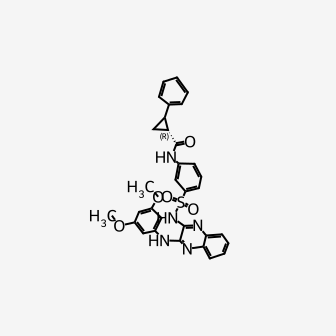 COc1cc(Nc2nc3ccccc3nc2NS(=O)(=O)c2cccc(NC(=O)[C@@H]3CC3c3ccccc3)c2)cc(OC)c1